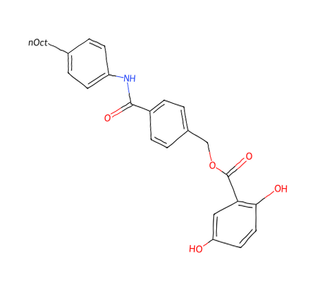 CCCCCCCCc1ccc(NC(=O)c2ccc(COC(=O)c3cc(O)ccc3O)cc2)cc1